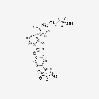 Cc1nc(OCCC(C)(C)O)ccc1-c1cccc2c1CC[C@H]2Oc1ccc(N2CC(=O)NS2(=O)=O)cc1